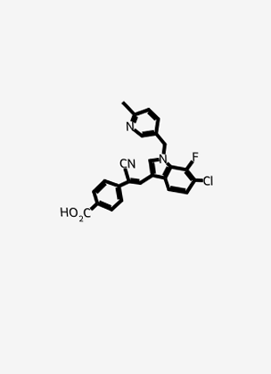 Cc1ccc(Cn2cc(/C=C(\C#N)c3ccc(C(=O)O)cc3)c3ccc(Cl)c(F)c32)cn1